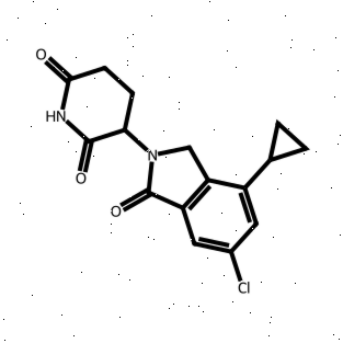 O=C1CCC(N2Cc3c(cc(Cl)cc3C3CC3)C2=O)C(=O)N1